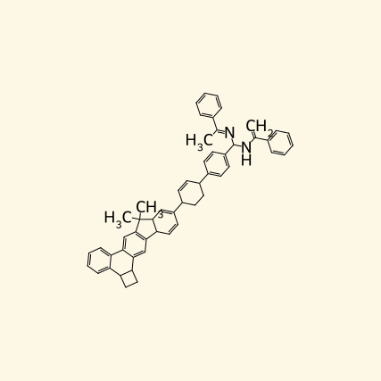 C=C(NC(/N=C(\C)c1ccccc1)c1ccc(C2C=CC(C3=CC4C(C=C3)c3cc5c(cc3C4(C)C)-c3ccccc3C3CCC53)CC2)cc1)c1ccccc1